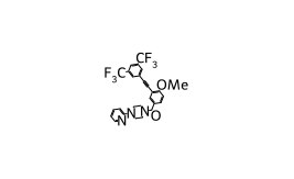 COc1ccc(C(=O)N2CCN(c3ccccn3)CC2)cc1C#Cc1cc(C(F)(F)F)cc(C(F)(F)F)c1